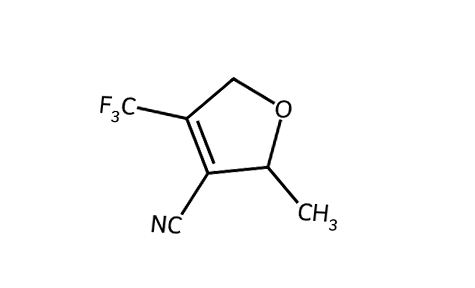 CC1OCC(C(F)(F)F)=C1C#N